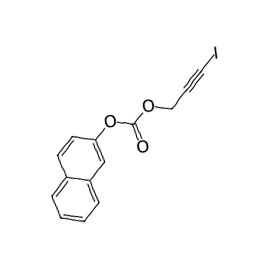 O=C(OCC#CI)Oc1ccc2ccccc2c1